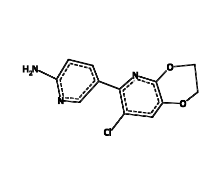 Nc1ccc(-c2nc3c(cc2Cl)OCCO3)cn1